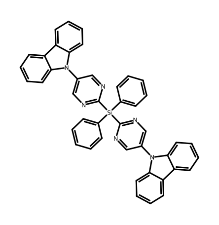 c1ccc([Si](c2ccccc2)(c2ncc(-n3c4ccccc4c4ccccc43)cn2)c2ncc(-n3c4ccccc4c4ccccc43)cn2)cc1